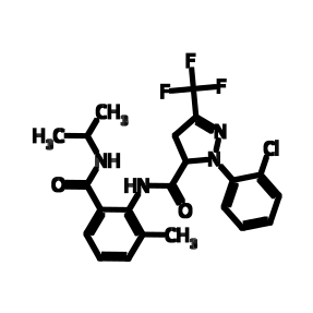 Cc1cccc(C(=O)NC(C)C)c1NC(=O)C1CC(C(F)(F)F)=NN1c1ccccc1Cl